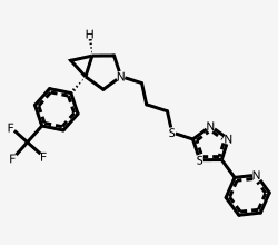 FC(F)(F)c1ccc([C@]23C[C@H]2CN(CCCSc2nnc(-c4ccccn4)s2)C3)cc1